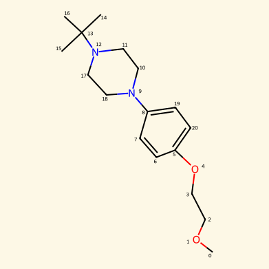 COCCOc1ccc(N2CCN(C(C)(C)C)CC2)cc1